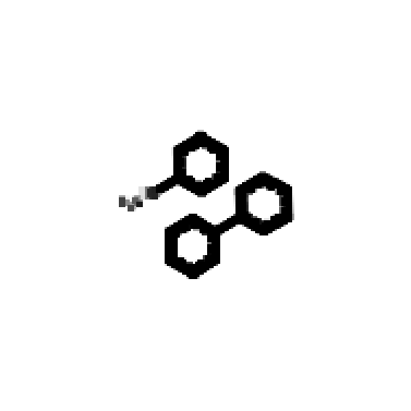 Oc1ccccc1.S.c1ccc(-c2ccccc2)cc1